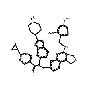 COc1ccc(CNc2nc3cc(CN(C(=O)c4cnc(C5CC5)nc4)c4ccc5nc(C6CCN(C)CC6)sc5c4)ccc3c3c2COC3)c(OC)c1